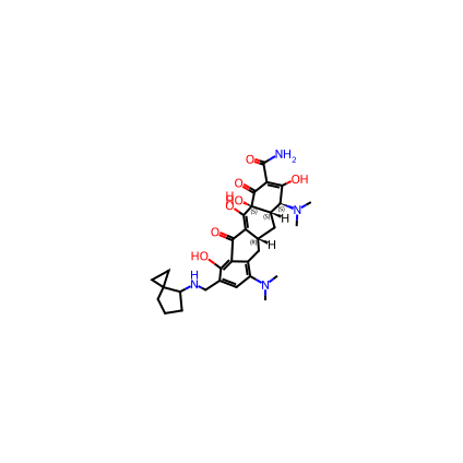 CN(C)c1cc(CNC2CCCC23CC3)c(O)c2c1C[C@H]1C[C@H]3[C@H](N(C)C)C(O)=C(C(N)=O)C(=O)[C@@]3(O)C(O)=C1C2=O